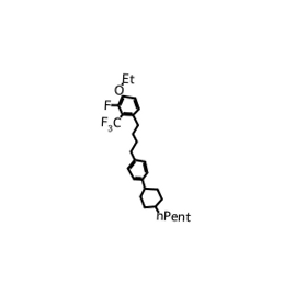 CCCCCC1CCC(c2ccc(CCCCc3ccc(OCC)c(F)c3C(F)(F)F)cc2)CC1